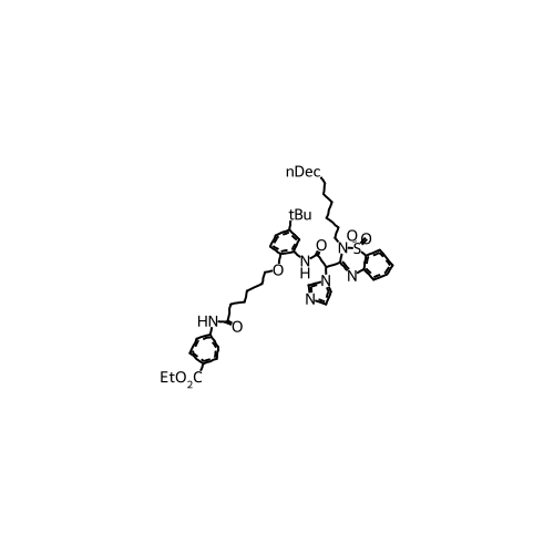 CCCCCCCCCCCCCCCCN1C(C(C(=O)Nc2cc(C(C)(C)C)ccc2OCCCCCC(=O)Nc2ccc(C(=O)OCC)cc2)n2ccnc2)=Nc2ccccc2S1(=O)=O